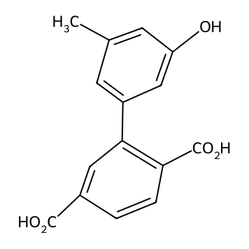 Cc1cc(O)cc(-c2cc(C(=O)O)ccc2C(=O)O)c1